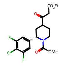 CCOC(=O)CC(=O)[C@H]1CCN(C(=O)OC)[C@H](c2cc(F)c(Cl)c(F)c2)C1